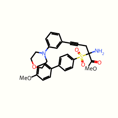 COC(=O)C(N)(CC#Cc1cccc(N2CCOCC2)c1)S(=O)(=O)c1ccc(-c2ccc(OC)cc2)cc1